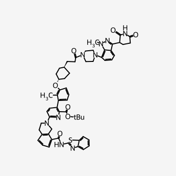 Cc1c(O[C@H]2CC[C@H](CCC(=O)N3CCN(c4cccc5c(C6CCC(=O)NC6=O)nn(C)c45)CC3)CC2)cccc1-c1ccc(N2CCc3cccc(C(=O)Nc4nc5ccccc5s4)c3C2)nc1C(=O)OC(C)(C)C